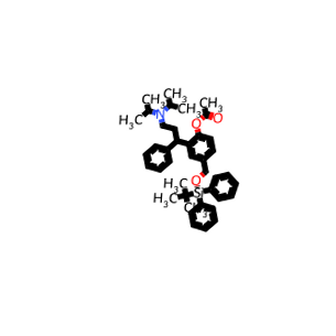 CC(=O)Oc1ccc(CO[Si](c2ccccc2)(c2ccccc2)C(C)(C)C)cc1C(CCN(C(C)C)C(C)C)c1ccccc1